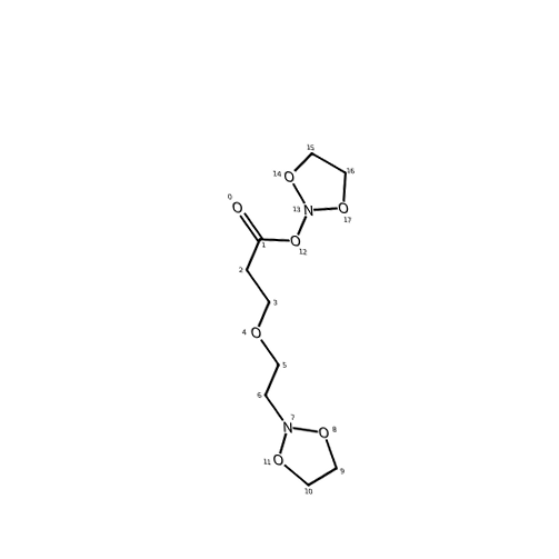 O=C(CCOCCN1OCCO1)ON1OCCO1